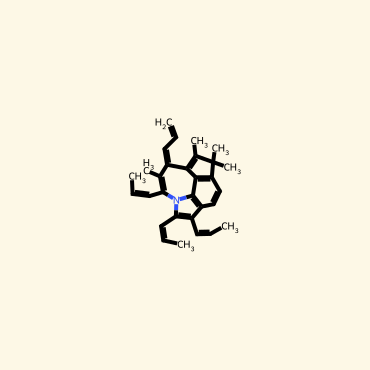 C=C/C=C1C(C)=C(/C=C\C)n2c(/C=C\C)c(/C=C\C)c3ccc4c(c32)C/1=C(C)C4(C)C